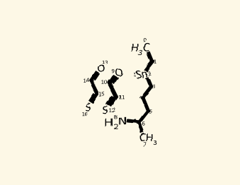 C[CH2][Sn][CH2]CCC(C)N.O=CC=S.O=CC=S